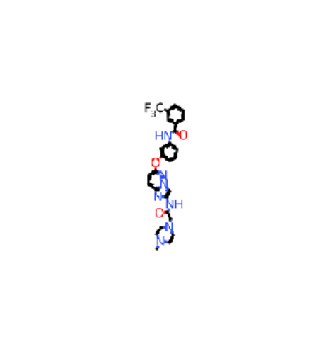 CN1CCN(CC(=O)Nc2cn3nc(Oc4cccc(NC(=O)c5cccc(C(F)(F)F)c5)c4)ccc3n2)CC1